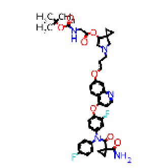 CC(C)(C)OC(=O)NCC(=O)OC1CN(CCCOc2ccc3c(Oc4ccc(N(C(=O)C5(C(N)=O)CC5)c5ccc(F)cc5)cc4F)ccnc3c2)CC12CC2